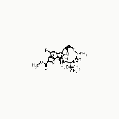 COC(=O)c1coc(-c2nc3oc2[C@@]24c5cc(F)ccc5N[C@@H]2Oc2ccc(cc24)C[C@H](C)C(=O)N[C@H]3C(C)(C)C)n1